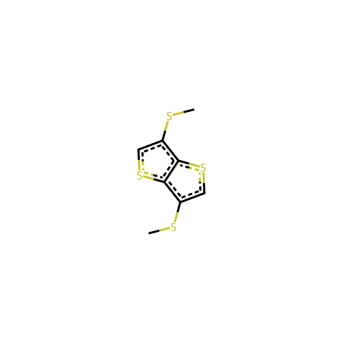 CSc1csc2c(SC)csc12